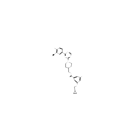 COc1cc(OCC2CC2)cc(C(=O)NCC2CCN(c3ncnc(-c4ccc(O)c(C#N)c4)n3)CC2)c1